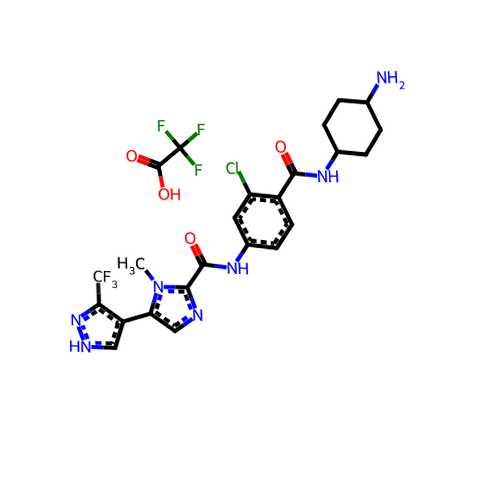 Cn1c(-c2c[nH]nc2C(F)(F)F)cnc1C(=O)Nc1ccc(C(=O)NC2CCC(N)CC2)c(Cl)c1.O=C(O)C(F)(F)F